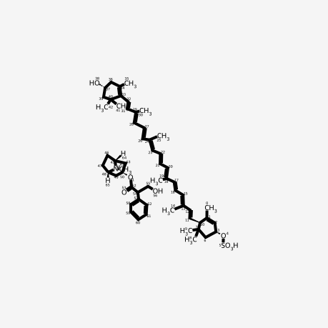 CC1=C[C@H](OS(=O)(=O)O)CC(C)(C)[C@H]1/C=C/C(C)=C/C=C/C(C)=C/C=C/C=C(C)/C=C/C=C(C)/C=C/C1=C(C)C[C@@H](O)CC1(C)C.CN1[C@@H]2CC[C@H]1C[C@@H](OC(=O)C(CO)c1ccccc1)C2